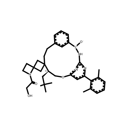 Cc1cccc(C)c1-c1cc2nc(n1)N[S+]([O-])c1cccc(c1)CCC1(CC3(CCN3C(=O)CO)C1)[C@H](CC(C)(C)C)CO2